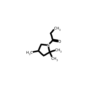 CCC(=O)N1CC(C)CC1(C)C